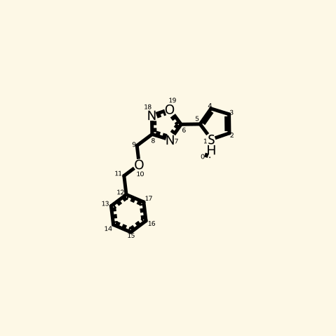 [CH2][SH]1C=CC=C1c1nc(COCc2ccccc2)no1